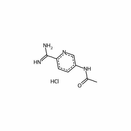 CC(=O)Nc1ccc(C(=N)N)nc1.Cl